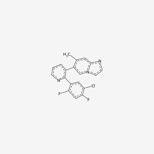 Cc1cc2nccn2cc1-c1cccnc1-c1cc(Cl)c(F)cc1F